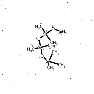 C[Si](C)(C)O[Si](C)(C)O[Si](C)(C)O[SiH3]